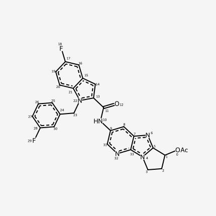 CC(=O)OC1CCn2c1nc1cc(NC(=O)c3cc4cc(F)ccc4n3Cc3cccc(F)c3)cnc12